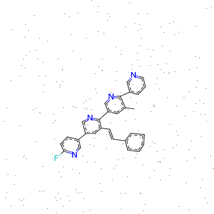 Cc1cc(-c2ncc(-c3ccc(F)nc3)cc2/C=C/c2ccccc2)cnc1-c1cccnc1